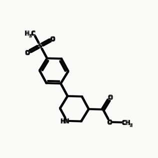 COC(=O)C1CNCC(c2ccc(S(C)(=O)=O)cc2)C1